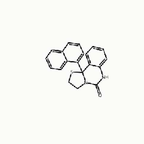 O=C1Nc2ccccc2C2(c3cccc4ccccc34)SCCN12